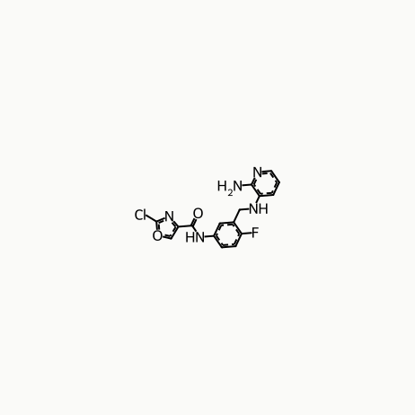 Nc1ncccc1NCc1cc(NC(=O)c2coc(Cl)n2)ccc1F